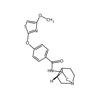 COc1csc(Oc2ccc(C(=O)N[C@H]3CN4CCC3CC4)cc2)n1